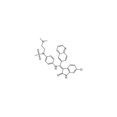 CN(C)CCN(c1ccc(N/C(=C2\C(=O)Nc3cc(Cl)ccc32)c2ccc3ncccc3c2)cc1)S(C)(=O)=O